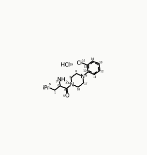 CC(C)CC(N)C(=O)N1CCN(c2ccccc2Cl)CC1.Cl